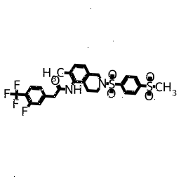 Cc1ccc2c(c1NC(=O)Cc1ccc(C(F)(F)F)c(F)c1)CCN(S(=O)(=O)c1ccc(S(C)(=O)=O)cc1)C2